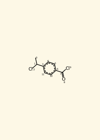 CC(Cl)c1ccc(C(=O)Cl)cc1